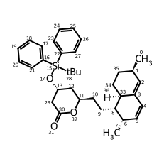 C[C@H]1C=C2C=C[C@H](C)[C@H](CC[C@@H]3C[C@@H](O[Si](c4ccccc4)(c4ccccc4)C(C)(C)C)CC(=O)O3)[C@H]2[CH]C1